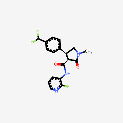 CN1C[C@H](c2ccc(C(F)F)cc2)[C@@H](C(=O)Nc2cccnc2F)C1=O